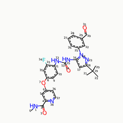 CNC(=O)c1cc(Oc2ccc(NC(=O)Nc3cc(C(C)(C)C)nn3-c3cccc(C=O)c3)c(F)c2)ccn1